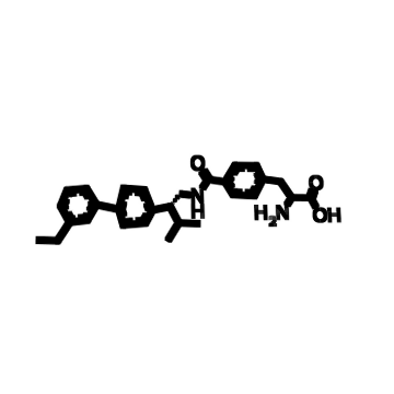 CCc1cccc(-c2ccc([C@H](CNC(=O)c3ccc(CC(N)C(=O)O)cc3)C(C)C)cc2)c1